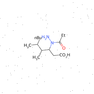 CCCCC(C)C(C)C(CC(=O)O)N(N)C(=O)CC